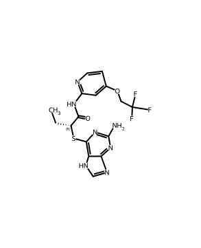 CC[C@@H](Sc1nc(N)nc2nc[nH]c12)C(=O)Nc1cc(OCC(F)(F)F)ccn1